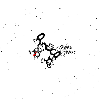 COc1ccc([C@H](Cc2c(Cl)c[n+]([O-])cc2Cl)c2cc(CNC(CC(=O)O[C@H]3CN4CCC3CC4)c3ccccc3F)sc2C(=O)O)cc1OC